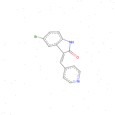 O=C1Nc2ccc(Br)cc2/C1=C/c1ccncc1